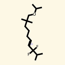 CC(C)OCC(C)(C)CCC/C=C/C(F)(F)C(C)C